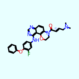 CN(C)C/C=C/C(=O)N1CCOc2c1ccc1ncnc(Nc3ccc(Oc4ccccc4)c(F)c3)c21